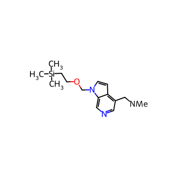 CNCc1cncc2c1ccn2COCC[Si](C)(C)C